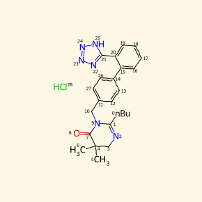 CCCCC1=NCC(C)(C)C(=O)N1Cc1ccc(-c2ccccc2-c2nnn[nH]2)cc1.Cl